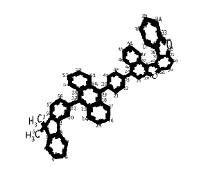 CC1(C)c2ccccc2-c2cc(-c3c4ccccc4c(-c4ccc(-c5cc6oc7ccc8oc9ccccc9c8c7c6c6ccccc56)cc4)c4ccccc34)ccc21